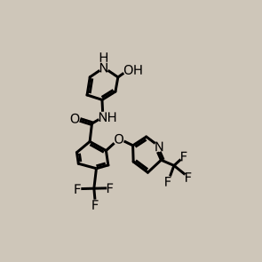 O=C(NC1=CC(O)NC=C1)c1ccc(C(F)(F)F)cc1Oc1ccc(C(F)(F)F)nc1